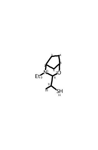 CCN1C2CCC(C2)OC1C(C)S